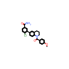 COc1ccc(C(=O)N2CCCc3cc(-c4cc(C(N)=O)ccc4Cl)ccc32)cc1